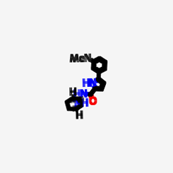 CNc1cccc(-c2ccc(C(=O)N[C@@H]3C[C@H]4CC[C@@H]3N4)[nH]2)c1